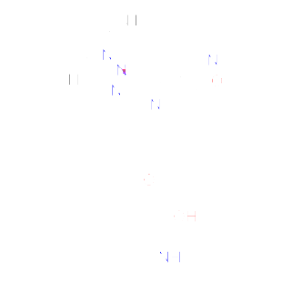 CNCC(O)COc1cccc(-c2nc(-c3c(C)noc3C)c(C)c(N3[C@@H]4CC[C@H]3CN(C)C4)n2)c1